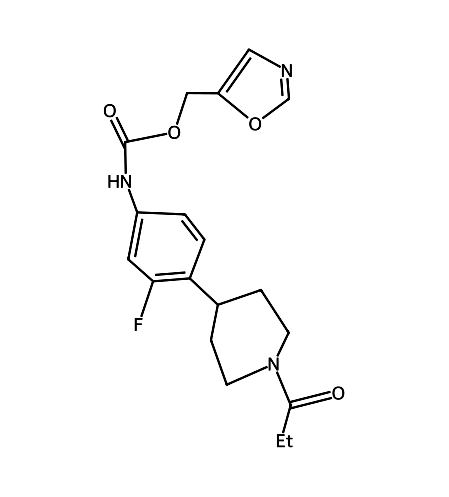 CCC(=O)N1CCC(c2ccc(NC(=O)OCc3cnco3)cc2F)CC1